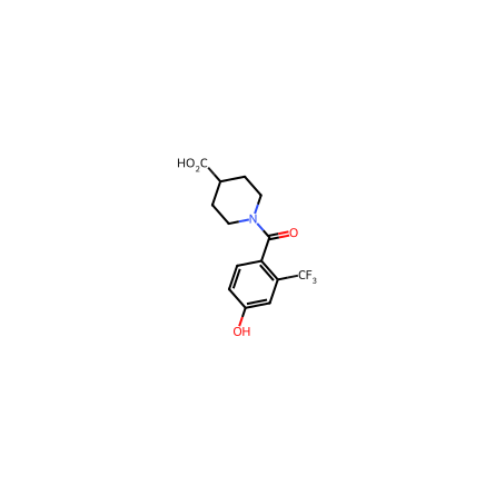 O=C(O)C1CCN(C(=O)c2ccc(O)cc2C(F)(F)F)CC1